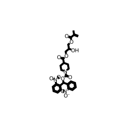 C=C(C)C(=O)OCC(O)COC(=O)C1CCN(C(=O)OC(c2ccccc2[N+](=O)[O-])c2ccccc2[N+](=O)[O-])CC1